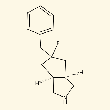 FC1(Cc2ccccc2)C[C@H]2CNC[C@H]2C1